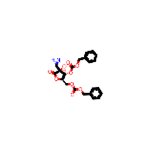 NC[C@@]1(O)C(=O)O[C@H](COC(=O)OCc2ccccc2)[C@H]1OC(=O)OCc1ccccc1